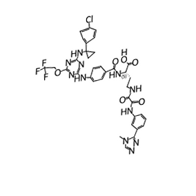 Cn1cnnc1-c1cccc(NC(=O)C(=O)NCC[C@H](NC(=O)c2ccc(Nc3nc(NC4(c5ccc(Cl)cc5)CC4)nc(OCC(F)(F)F)n3)cc2)C(=O)O)c1